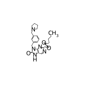 CCCCS(=O)(=O)c1ncc2[nH]c(=O)n(Cc3cccc(CN4CCCC4)c3)c2n1